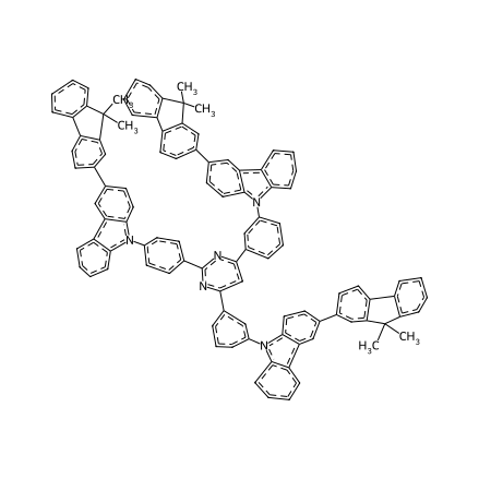 CC1(C)c2ccccc2-c2ccc(-c3ccc4c(c3)c3ccccc3n4-c3ccc(-c4nc(-c5cccc(-n6c7ccccc7c7cc(-c8ccc9c(c8)C(C)(C)c8ccccc8-9)ccc76)c5)cc(-c5cccc(-n6c7ccccc7c7cc(-c8ccc9c(c8)C(C)(C)c8ccccc8-9)ccc76)c5)n4)cc3)cc21